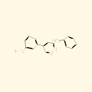 Nc1cccc(-c2cnnc(Nc3ccccc3)c2)c1